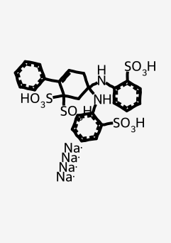 O=S(=O)(O)c1ccccc1NC1(Nc2ccccc2S(=O)(=O)O)CC=C(c2ccccc2)C(S(=O)(=O)O)(S(=O)(=O)O)C1.[Na].[Na].[Na].[Na]